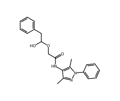 Cc1nn(-c2ccccc2)c(C)c1NC(=O)COC(O)Cc1ccccc1